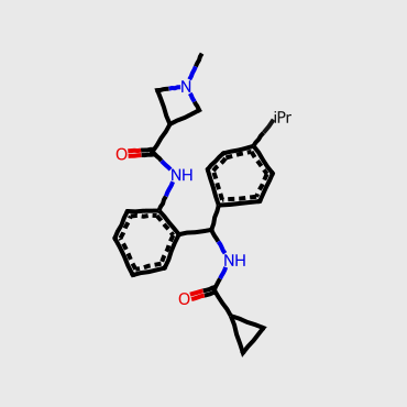 CC(C)c1ccc(C(NC(=O)C2CC2)c2ccccc2NC(=O)C2CN(C)C2)cc1